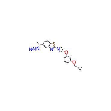 CC(N=[N+]=[N-])c1ccc2sc(N3CC(Oc4cccc(OCC5CC5)c4)C3)nc2c1